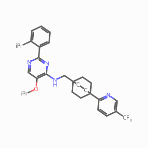 CC(C)Oc1cnc(-c2ccccc2C(C)C)nc1NCC12CCC(c3ccc(C(F)(F)F)cn3)(CC1)CC2